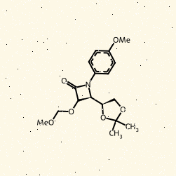 COCOC1C(=O)N(c2ccc(OC)cc2)[C@H]1[C@H]1COC(C)(C)O1